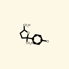 O=C(O)C1CCC(C(=O)O)(c2ccc(Cl)cc2)O1